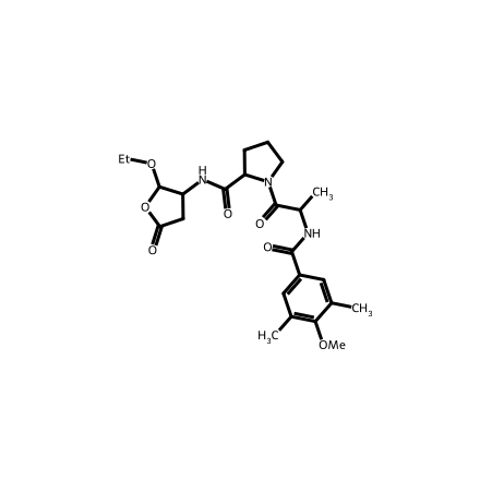 CCOC1OC(=O)CC1NC(=O)C1CCCN1C(=O)C(C)NC(=O)c1cc(C)c(OC)c(C)c1